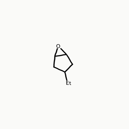 CCC1CC2OC2C1